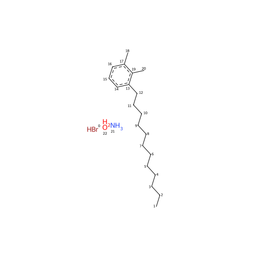 Br.CCCCCCCCCCCCc1cccc(C)c1C.N.O